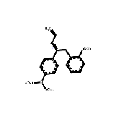 C=C/C=C(\Cc1ccccc1CCCCCCCCC)c1ccc(N(CCCCCCCC)CCCCCCCC)cc1